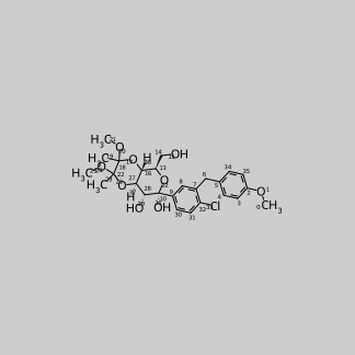 COc1ccc(Cc2cc([C@]3(O)O[C@H](CO)[C@H]4OC(C)(OC)C(C)(OC)O[C@@H]4[C@H]3O)ccc2Cl)cc1